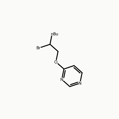 CCCCC(Br)COc1ccncn1